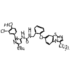 CCOC(=O)c1cnc2sc3cc(Oc4ccccc4CNC(=O)Nc4cc(C(C)(C)C)nn4-c4ccc(O)c(Cl)c4)ccc3n12